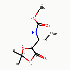 CSC[C@@H](NC(=O)OC(C)(C)C)C1OC(C)(C)OC1=O